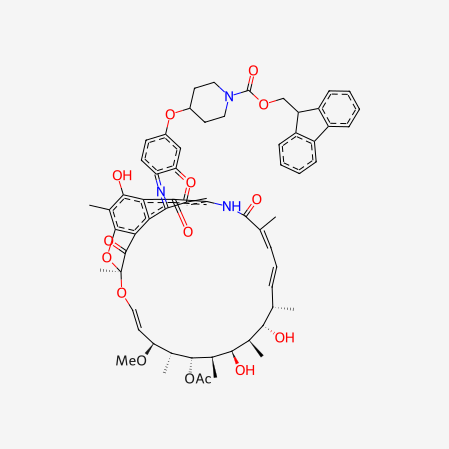 CO[C@H]1/C=C/O[C@@]2(C)Oc3c(C)c(O)c4c(=O)c(c5oc6cc(OC7CCN(C(=O)OCC8c9ccccc9-c9ccccc98)CC7)ccc6nc-5c4c3C2=O)NC(=O)/C(C)=C\C=C\[C@H](C)[C@H](O)[C@@H](C)[C@@H](O)[C@@H](C)[C@H](OC(C)=O)[C@@H]1C